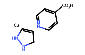 C1=CNNC1.O=C(O)c1ccncc1.[Cu]